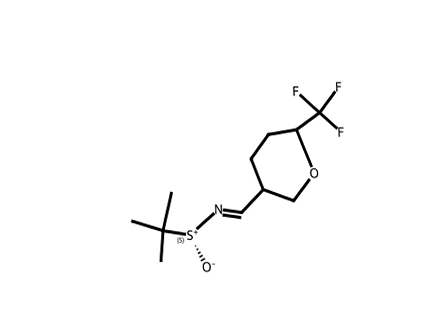 CC(C)(C)[S@@+]([O-])N=CC1CCC(C(F)(F)F)OC1